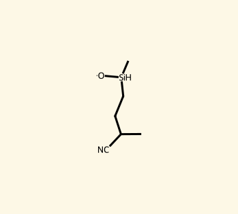 CC(C#N)CC[SiH](C)[O]